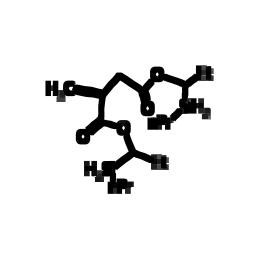 C=C(CC(=O)OC(CC)[SiH2]CCC)C(=O)OC(CC)[SiH2]CCC